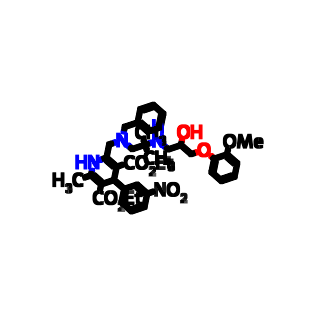 CCOC(=O)C1=C(C)NC(CN(Cc2ccccc2)CC(C)(C)NCC(O)COc2ccccc2OC)=C(C(=O)OCC)C1c1cccc([N+](=O)[O-])c1